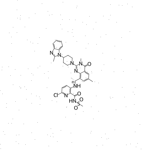 Cc1cc([C@@H](C)Nc2ccc(Cl)nc2C(=O)NS(C)(=O)=O)c2nc(N3CCC(n4c(C)nc5ccccc54)CC3)n(C)c(=O)c2c1